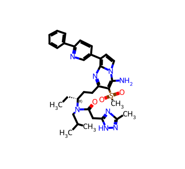 CC[C@H](CCc1nc2c(-c3ccc(-c4ccccc4)nc3)ccn2c(N)c1S(C)(=O)=O)N(CC(C)C)C(=O)Cc1nc(C)n[nH]1